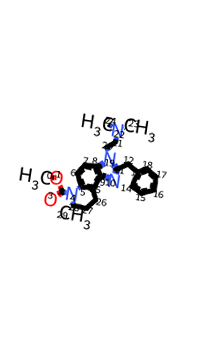 COC(=O)N1c2ccc3c(nc(Cc4ccccc4)n3CCN(C)C)c2CC[C@@H]1C